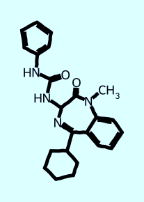 CN1C(=O)C(NC(=O)Nc2ccccc2)N=C(C2CCCCC2)c2ccccc21